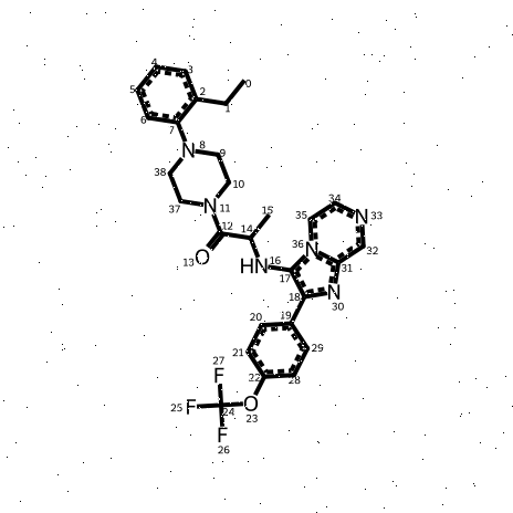 CCc1ccccc1N1CCN(C(=O)C(C)Nc2c(-c3ccc(OC(F)(F)F)cc3)nc3cnccn23)CC1